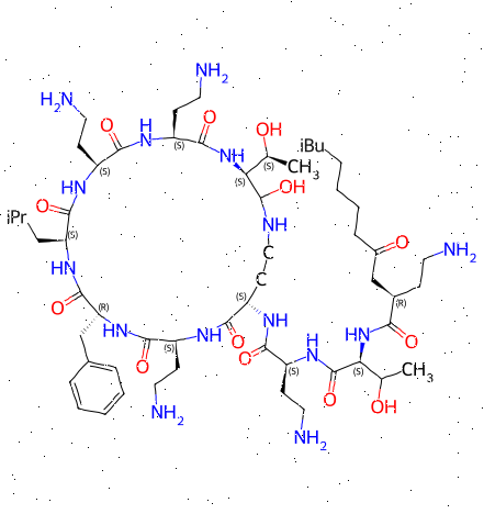 CCC(C)CCCCC(=O)C[C@@H](CCN)C(=O)N[C@H](C(=O)N[C@@H](CCN)C(=O)N[C@H]1CCNC(O)[C@H]([C@H](C)O)NC(=O)[C@H](CCN)NC(=O)[C@H](CCN)NC(=O)[C@H](CC(C)C)NC(=O)[C@@H](Cc2ccccc2)NC(=O)[C@H](CCN)NC1=O)C(C)O